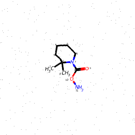 CC1(C)CCCCN1C(=O)ON